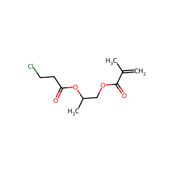 C=C(C)C(=O)OCC(C)OC(=O)CCCl